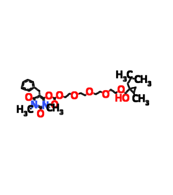 CC(C)CC1(C(O)OCCOCCOCCOCCOC(=O)Oc2c(Cc3ccccc3)c(=O)n(C)c(=O)n2C)CC1C